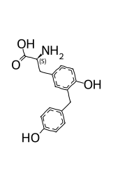 N[C@@H](Cc1ccc(O)c(Cc2ccc(O)cc2)c1)C(=O)O